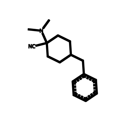 CN(C)C1(C#N)CCC(Cc2ccccc2)CC1